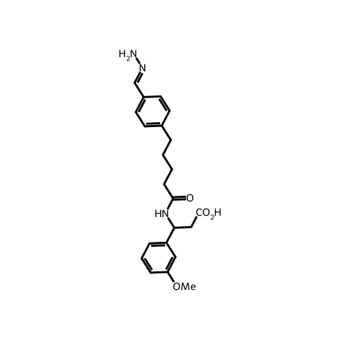 COc1cccc(C(CC(=O)O)NC(=O)CCCCc2ccc(C=NN)cc2)c1